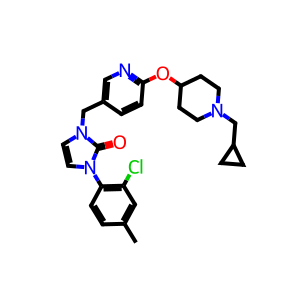 Cc1ccc(-n2ccn(Cc3ccc(OC4CCN(CC5CC5)CC4)nc3)c2=O)c(Cl)c1